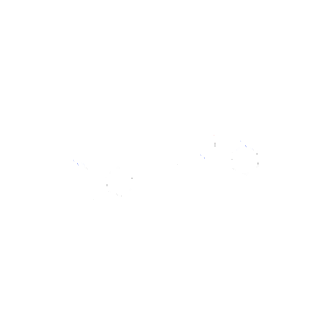 N#Cc1ccc(OC2CC3CN(C(=O)c4ccccn4)CC3C2)cc1Cl